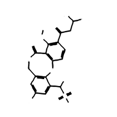 COc1c(C(=O)CC(C)C)ccc2c1C(=O)OCc1cc(C)cc(C(Cl)S(=O)(=O)O)c1O2